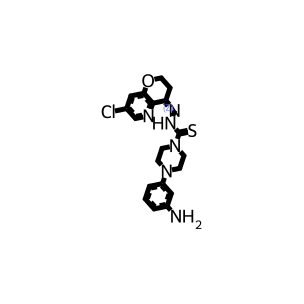 Nc1cccc(N2CCN(C(=S)N/N=C3/CCOc4cc(Cl)cnc43)CC2)c1